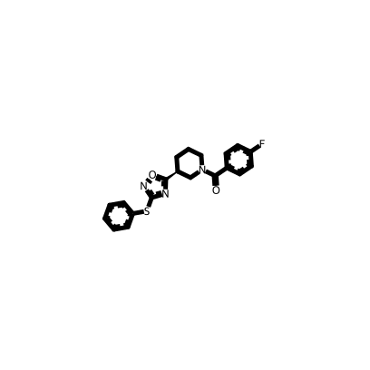 O=C(c1ccc(F)cc1)N1CCC[C@H](c2nc(Sc3ccccc3)no2)C1